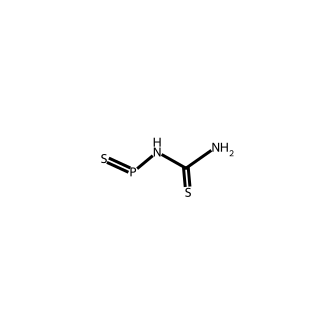 NC(=S)NP=S